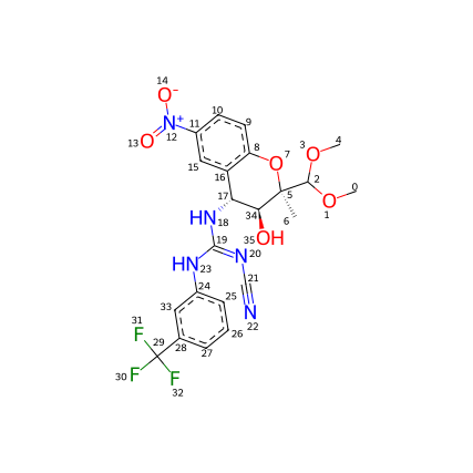 COC(OC)[C@]1(C)Oc2ccc([N+](=O)[O-])cc2[C@@H](NC(=NC#N)Nc2cccc(C(F)(F)F)c2)[C@@H]1O